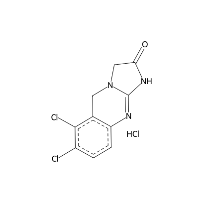 Cl.O=C1CN2Cc3c(ccc(Cl)c3Cl)N=C2N1